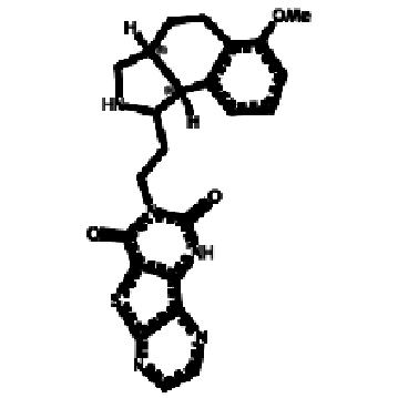 COc1cccc2c1CC[C@H]1CNC(CCn3c(=O)[nH]c4c(sc5nccnc54)c3=O)[C@@H]21